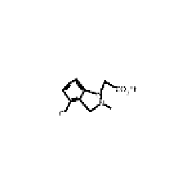 CCOC(=O)CN1c2cccc(Cl)c2CN1C